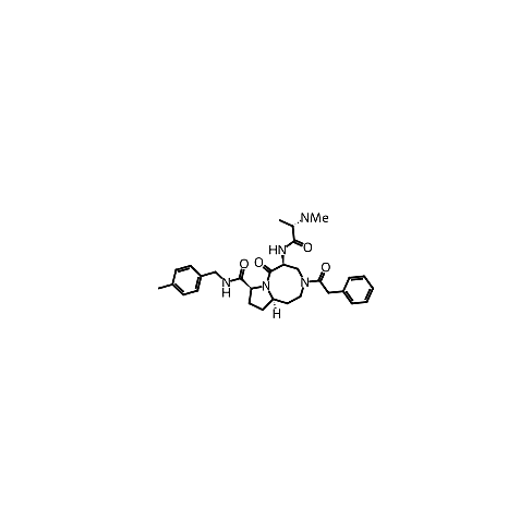 CN[C@@H](C)C(=O)N[C@H]1CN(C(=O)Cc2ccccc2)CC[C@H]2CC[C@@H](C(=O)NCc3ccc(C)cc3)N2C1=O